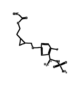 C[C@H](NS(N)(=O)=O)c1cc(OCC2CC2CCOC(=O)C=O)ccc1F